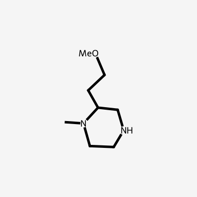 COCCC1CNCCN1C